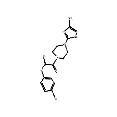 CCC(Oc1ccc(Br)cc1)C(=O)N1CCN(c2nc(N)n[nH]2)CC1